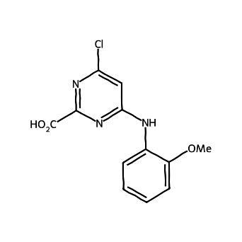 COc1ccccc1Nc1cc(Cl)nc(C(=O)O)n1